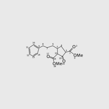 COC(=O)C1CC(CCCc2ccccc2)C(C(=O)OC)C1=O